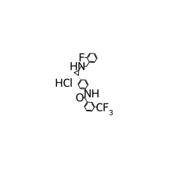 Cl.O=C(Nc1ccc([C@@H]2C[C@H]2NCc2ccccc2F)cc1)c1cccc(C(F)(F)F)c1